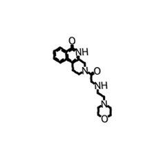 O=C(CNCCN1CCOCC1)N1CCc2c([nH]c(=O)c3ccccc23)C1